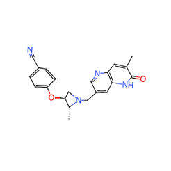 Cc1cc2ncc(CN3C[C@H](Oc4ccc(C#N)cc4)[C@H]3C)cc2[nH]c1=O